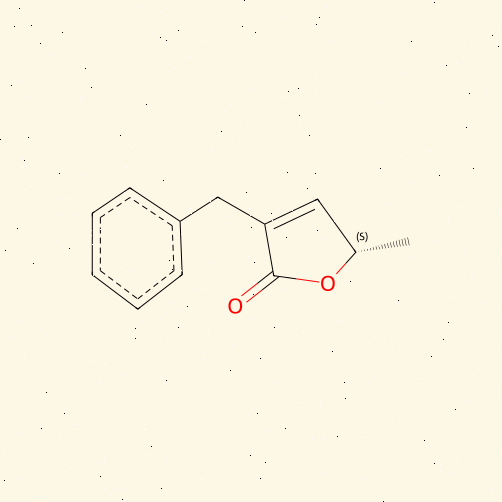 C[C@H]1C=C(Cc2ccccc2)C(=O)O1